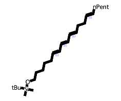 CCCCC/C=C/CC/C=C/C=C/C=C/CCCCCO[Si](C)(C)C(C)(C)C